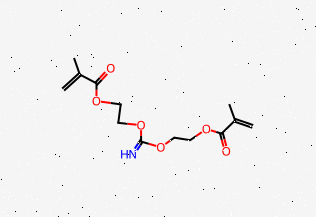 C=C(C)C(=O)OCCOC(=N)OCCOC(=O)C(=C)C